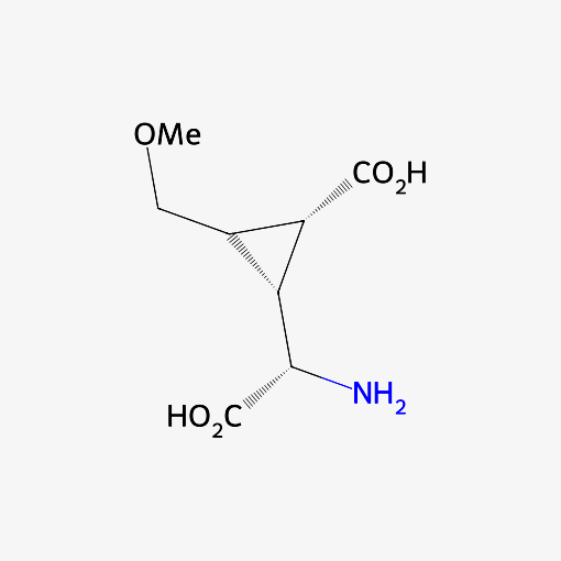 COCC1[C@@H]([C@H](N)C(=O)O)[C@H]1C(=O)O